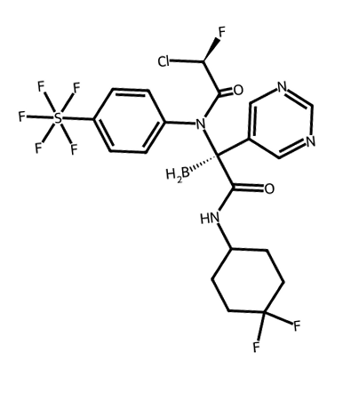 B[C@@](C(=O)NC1CCC(F)(F)CC1)(c1cncnc1)N(C(=O)[C@H](F)Cl)c1ccc(S(F)(F)(F)(F)F)cc1